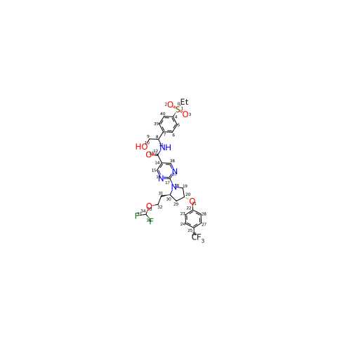 CCS(=O)(=O)c1ccc(C(CO)NC(=O)c2cnc(N3C[C@H](Oc4ccc(C(F)(F)F)cc4)C[C@H]3CCOC(F)F)nc2)cc1